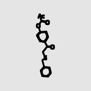 CC(=O)C(=O)Oc1ccc(C(=O)CSCc2ccccc2)cc1